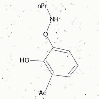 CCCNOc1cccc(C(C)=O)c1O